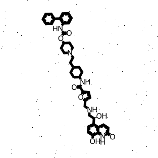 O=C(Nc1ccccc1-c1ccccc1)OC1CCN(CCC2CCC(NC(=O)c3ccc(CNC[C@H](O)c4ccc(O)c5[nH]c(=O)ccc45)o3)CC2)CC1